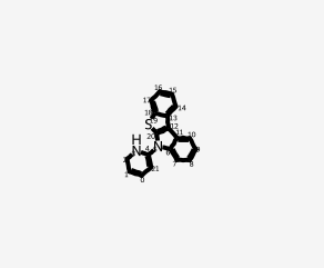 C1=CCNC(n2c3ccccc3c3c4ccccc4sc32)=C1